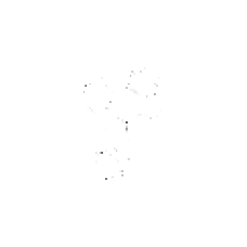 O=C(N[C@H]1CN2CCC1CC2)c1nsc2cccc(N3CCOCC3)c12